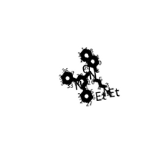 CCN(CC)CCCCN(Cc1ccc2ccccc2c1)C(=O)c1cc(-c2ccccc2)nc(-c2ccccc2)c1